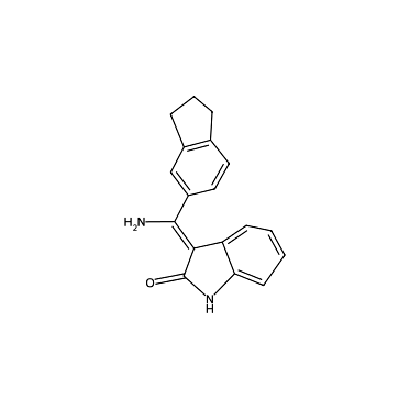 N/C(=C1\C(=O)Nc2ccccc21)c1ccc2c(c1)CCC2